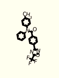 Cc1ccc(N(C(=O)c2ccc(-c3noc(C(F)(F)F)n3)cc2)c2ccccc2)cc1